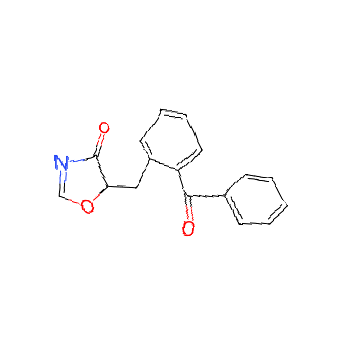 O=C(c1ccccc1)c1ccccc1CC1OC=NC1=O